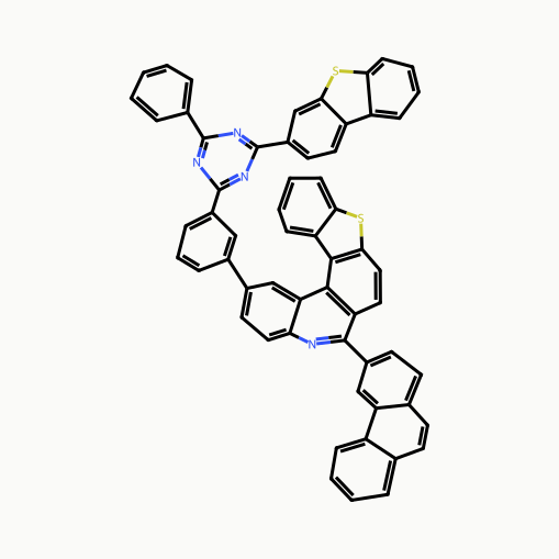 c1ccc(-c2nc(-c3cccc(-c4ccc5nc(-c6ccc7ccc8ccccc8c7c6)c6ccc7sc8ccccc8c7c6c5c4)c3)nc(-c3ccc4c(c3)sc3ccccc34)n2)cc1